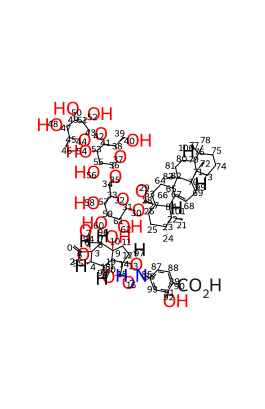 C=C(C)[C@@H]1[C@H]2OC(=O)[C@@H]1[C@]1(O)C[C@H]3O[C@]34C(=O)O[C@H]2[C@]14C.C[C@H]1[C@H](C)CC[C@]2(C(=O)O[C@@H]3O[C@H](CO[C@@H]4O[C@H](CO)[C@@H](O[C@@H]5O[C@@H](C)[C@H](O)[C@@H](O)[C@H]5O)[C@H](O)[C@H]4O)[C@@H](O)[C@H](O)[C@H]3O)CC[C@]3(C)C(=CC[C@@H]4[C@@]5(C)CCCC(C)(C)[C@@H]5CC[C@]43C)[C@H]12.Nc1ccc(C(=O)O)c(O)c1